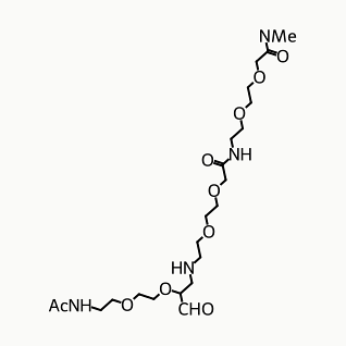 CNC(=O)COCCOCCNC(=O)COCCOCCNCC(C=O)OCCOCCNC(C)=O